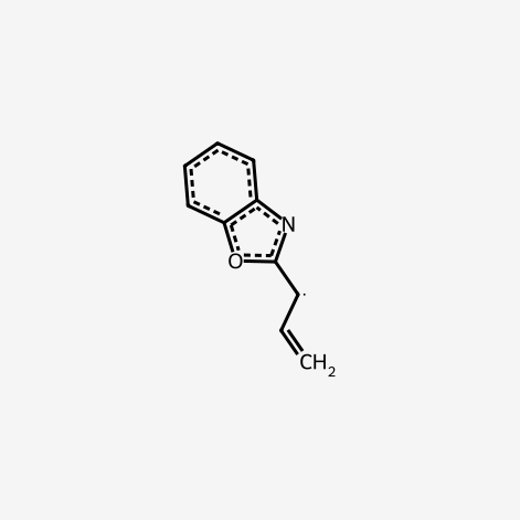 C=C[CH]c1nc2ccccc2o1